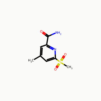 Cc1[c]c(C(N)=O)nc(S(C)(=O)=O)c1